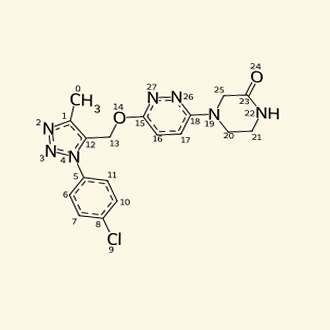 Cc1nnn(-c2ccc(Cl)cc2)c1COc1ccc(N2CCNC(=O)C2)nn1